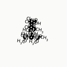 COc1cc(OC)nc(Oc2cccc(Oc3nc(OC)cc(OC)n3)c2C(=O)O)n1.Cc1cnc2c(C(=O)O)c(Cl)ccc2c1.Nc1c(Cl)c(Cl)nc(C(=O)O)c1Cl